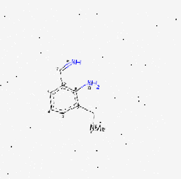 CNCc1cccc(C=N)c1N